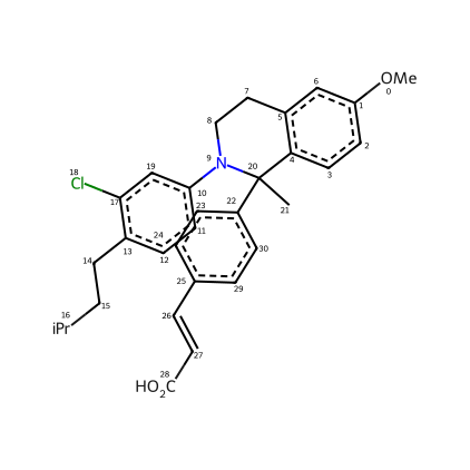 COc1ccc2c(c1)CCN(c1ccc(CCC(C)C)c(Cl)c1)C2(C)c1ccc(C=CC(=O)O)cc1